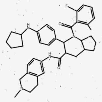 Cc1cccc(F)c1C(=O)N1C2CCCC2CC(C(=O)Nc2ccc3c(c2)CCN(C)C3)C1c1ccc(NC2CCCC2)cc1